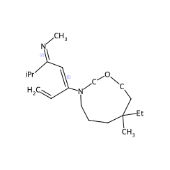 C=C/C(=C\C(=N/C)C(C)C)N1CCCC(C)(CC)CCOC1